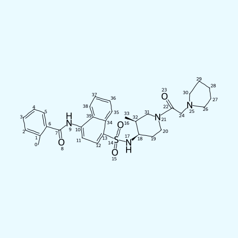 Cc1ccccc1C(=O)Nc1ccc(S(=O)(=O)N[C@@H]2CCN(C(=O)CN3CCCCC3)C[C@@H]2C)c2ccccc12